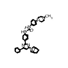 CN1CCN(c2ccc(NC(=O)Nc3ccc(-c4nc(-c5ccccc5)cc(N5CC6CCC(C5)O6)n4)cc3)cc2)CC1